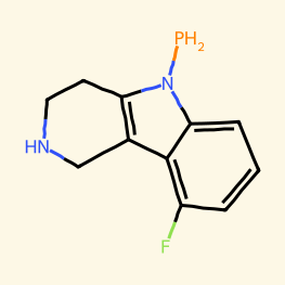 Fc1cccc2c1c1c(n2P)CCNC1